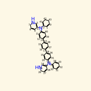 C1=CC(N(C2=CNCC=C2)c2ccc(-c3ccc(-c4ccc(N(C5=CNCC=C5)c5ccccc5)cc4)cc3)cc2)=CCC1